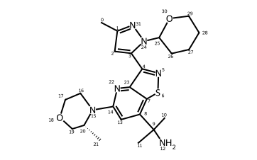 Cc1cc(-c2nsc3c(C(C)(C)N)cc(N4CCOC[C@H]4C)nc23)n(C2CCCCO2)n1